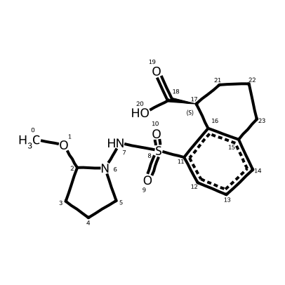 COC1CCCN1NS(=O)(=O)c1cccc2c1[C@@H](C(=O)O)CCC2